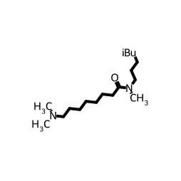 CCC(C)CCCN(C)C(=O)CCCCCCCN(C)C